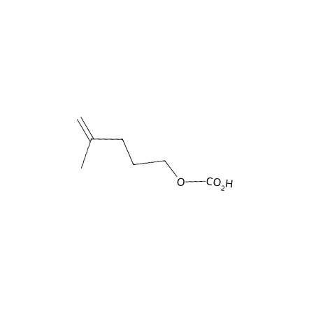 C=C(C)CCCOC(=O)O